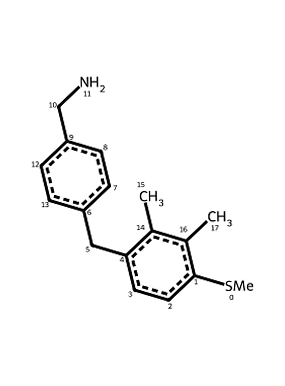 CSc1ccc(Cc2ccc(CN)cc2)c(C)c1C